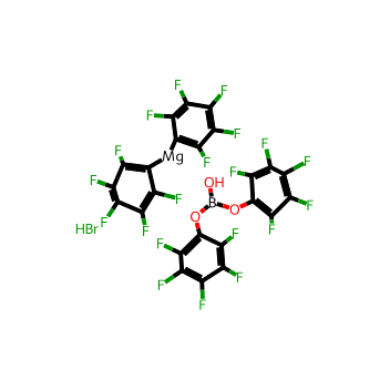 Br.Fc1c(F)c(F)[c]([Mg][c]2c(F)c(F)c(F)c(F)c2F)c(F)c1F.OB(Oc1c(F)c(F)c(F)c(F)c1F)Oc1c(F)c(F)c(F)c(F)c1F